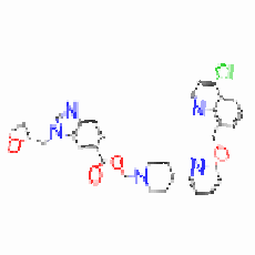 O=C(OCN1CCC(c2cccc(OCc3cccc4c(Cl)ccnc34)n2)CC1)c1ccc2ncn(CC3CCO3)c2c1